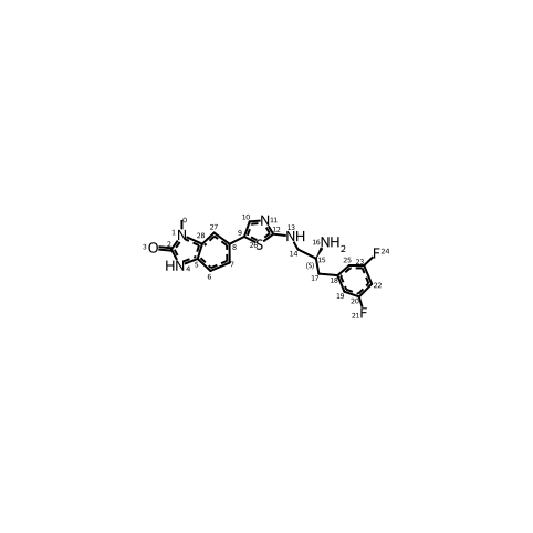 Cn1c(=O)[nH]c2ccc(-c3cnc(NC[C@@H](N)Cc4cc(F)cc(F)c4)s3)cc21